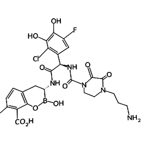 NCCCN1CCN(C(=O)N[C@@H](C(=O)N[C@H]2Cc3ccc(F)c(C(=O)O)c3OB2O)c2cc(F)c(O)c(O)c2Cl)C(=O)C1=O